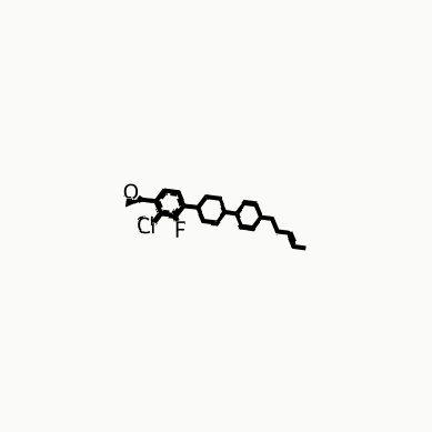 C/C=C/CCC1CCC(C2CCC(c3ccc(C4CO4)c(Cl)c3F)CC2)CC1